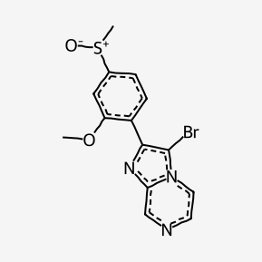 COc1cc([S+](C)[O-])ccc1-c1nc2cnccn2c1Br